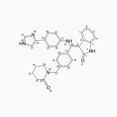 O=C1Nc2ccccc2C1=C(Nc1ccc(-c2c[nH]cn2)cc1)c1ccc(CN2CCCCC2=O)cc1